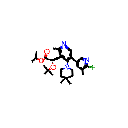 Cc1cc(-c2cnc(C)c([C@H](OC(C)(C)C)C(=O)OC(C)C)c2N2CCC(C)(C)CC2)cnc1F